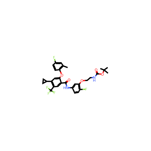 Cc1cc(F)ccc1Oc1cc(C2CC2)c(C(F)(F)F)cc1C(=O)Nc1ccc(F)c(OCCNC(=O)OC(C)(C)C)c1